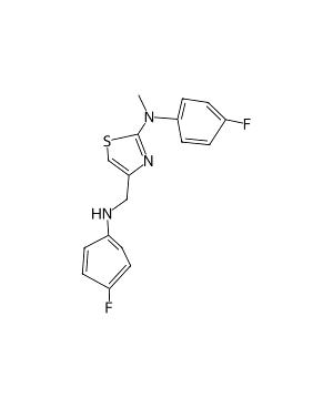 CN(c1ccc(F)cc1)c1nc(CNc2ccc(F)cc2)cs1